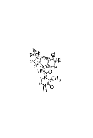 CC1C(=O)NCCN1C(=O)NC(c1ccc(F)c(Cl)c1F)C1CCC(C(F)(F)F)C1